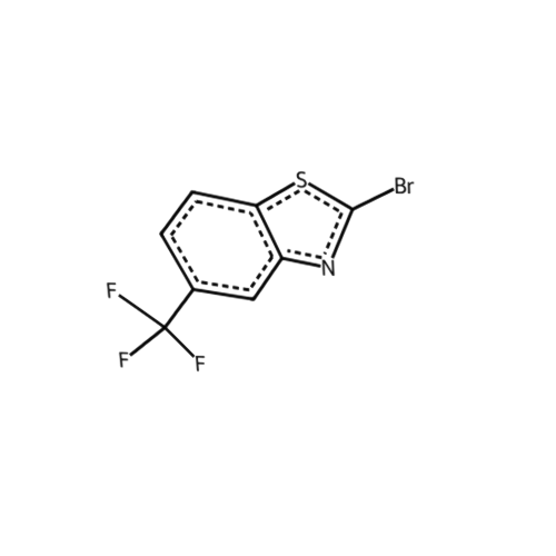 FC(F)(F)c1ccc2sc(Br)nc2c1